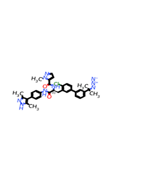 Cc1n[nH]c(C)c1-c1ccc(NC(=O)[C@H](Cc2cc(-c3cccc(C(C)(C)N=[N+]=[N-])c3)ccc2Cl)NC(=O)c2ccnn2C)cc1